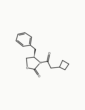 O=C(CC1CCC1)N1C(=O)OC[C@H]1Cc1ccccc1